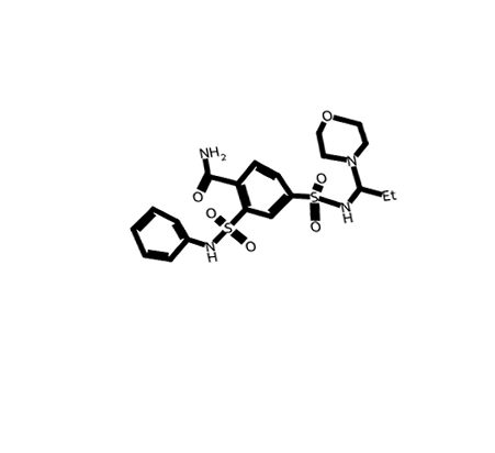 CCC(NS(=O)(=O)c1ccc(C(N)=O)c(S(=O)(=O)Nc2ccccc2)c1)N1CCOCC1